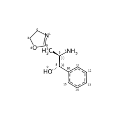 C1=NCCO1.C[C@@H](N)[C@@H](O)c1ccccc1